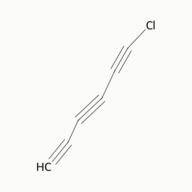 C#CC#CC#CCl